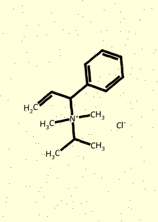 C=CC(c1ccccc1)[N+](C)(C)C(C)C.[Cl-]